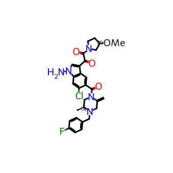 C=C1CN(Cc2ccc(F)cc2)[C@@H](C)CN1C(=O)c1cc2c(C(=O)C(=O)N3CC[C@@H](OC)C3)cn(N)c2cc1Cl